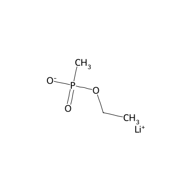 CCOP(C)(=O)[O-].[Li+]